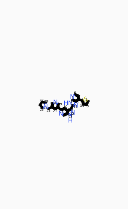 c1csc(-c2ccnc3[nH]c(-c4n[nH]c5cnc(-c6cncc(CN7CCCC7)c6)cc45)nc23)c1